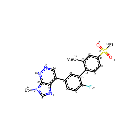 CCn1cnc2c(-c3ccc(F)c(-c4ccc(S(=O)(=O)CC)cc4OC)c3)cnnc21